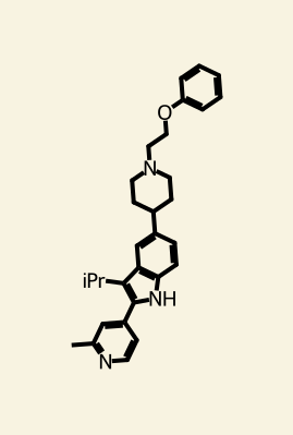 Cc1cc(-c2[nH]c3ccc(C4CCN(CCOc5ccccc5)CC4)cc3c2C(C)C)ccn1